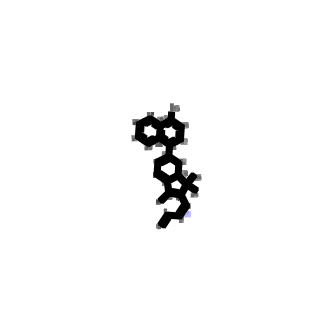 C=C/C=C\C1=C(C)C2=CC=C(c3ccc(I)c4ccccc34)CC2C1(C)C